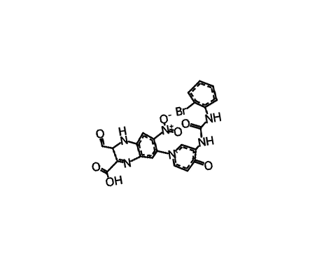 O=CC1Nc2cc([N+](=O)[O-])c(-n3ccc(=O)c(NC(=O)Nc4ccccc4Br)c3)cc2N=C1C(=O)O